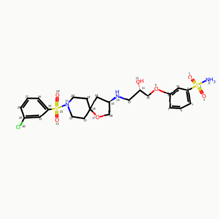 NS(=O)(=O)c1cccc(OC[C@@H](O)CN[C@H]2COC3(CCN(S(=O)(=O)c4cccc(Cl)c4)CC3)C2)c1